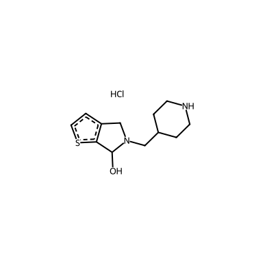 Cl.OC1c2sccc2CN1CC1CCNCC1